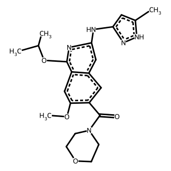 COc1cc2c(OC(C)C)nc(Nc3cc(C)[nH]n3)cc2cc1C(=O)N1CCOCC1